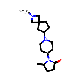 CCOC(=O)N1CC2(CCC(N3CCC(N4C(=O)CCC4C)CC3)C2)C1